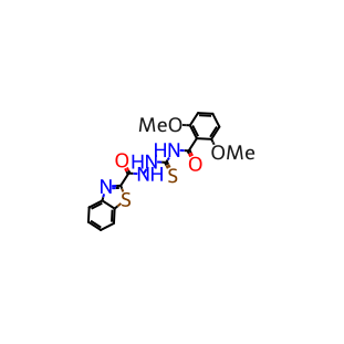 COc1cccc(OC)c1C(=O)NC(=S)NNC(=O)c1nc2ccccc2s1